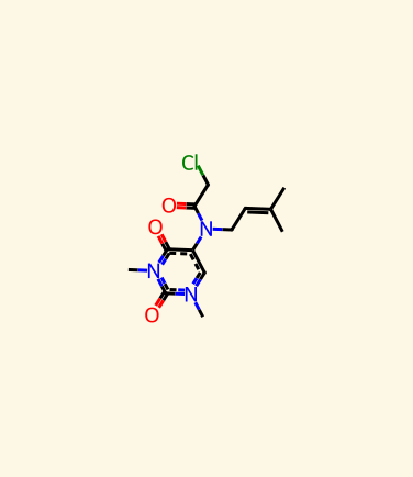 CC(C)=CCN(C(=O)CCl)c1cn(C)c(=O)n(C)c1=O